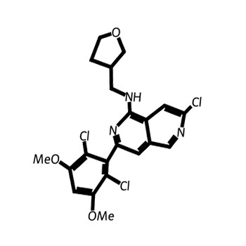 COc1cc(OC)c(Cl)c(-c2cc3cnc(Cl)cc3c(NCC3CCOC3)n2)c1Cl